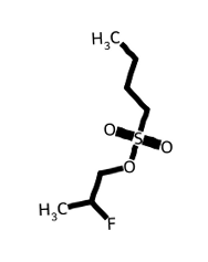 CCCCS(=O)(=O)OCC(C)F